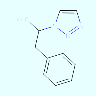 O=C(O)C(Cc1ccccc1)n1ccnn1